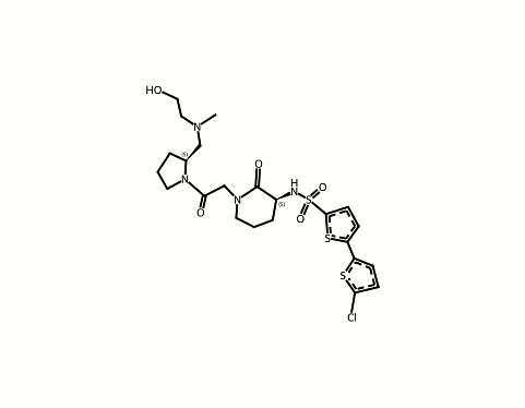 CN(CCO)C[C@@H]1CCCN1C(=O)CN1CCC[C@H](NS(=O)(=O)c2ccc(-c3ccc(Cl)s3)s2)C1=O